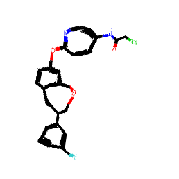 O=C(CCl)Nc1ccc(Oc2ccc3c(c2)OCC(c2cccc(F)c2)C3)nc1